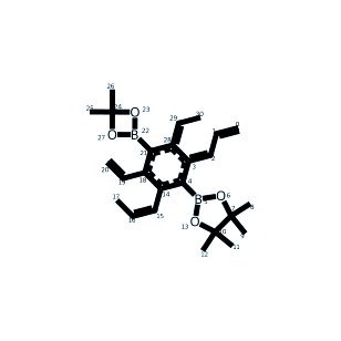 C=C/C=c1/c(B2OC(C)(C)C(C)(C)O2)c(/C=C\C)c(C=C)c(B2OC(C)(C)O2)/c1=C/C